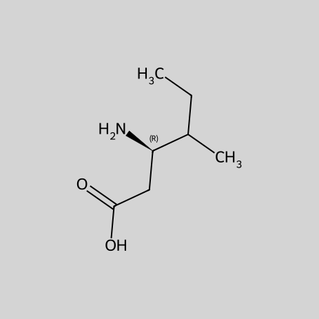 CCC(C)[C@H](N)CC(=O)O